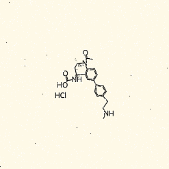 CNCCc1ccc(-c2ccc3c(c2)[C@H](NC(=O)O)C[C@H](C)N3C(C)=O)cc1.Cl